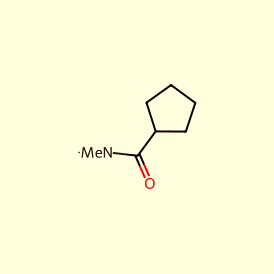 C[N]C(=O)C1CCCC1